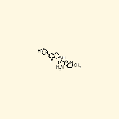 Cc1ccc2c(N)c(C(=O)N[C@@H]3CCc4cc(N5CCNCC5)cc(F)c4C3)sc2n1